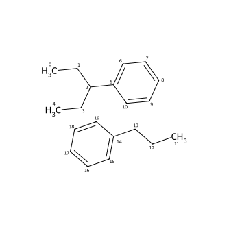 CCC(CC)c1ccccc1.CCCc1ccccc1